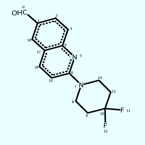 O=Cc1ccc2nc(N3CCC(F)(F)CC3)ccc2c1